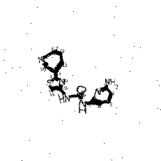 Nc1cccc(NC(=O)Nc2csc(-c3cccnc3)n2)n1